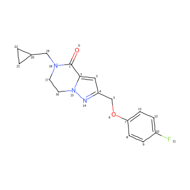 O=C1c2cc(COc3ccc(F)cc3)nn2CCN1CC1CC1